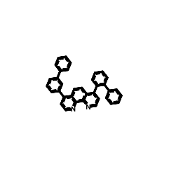 c1ccc(-c2cccc(-c3ccnc4c3ccc3c(-c5ccccc5-c5ccccc5)ccnc34)c2)cc1